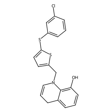 Oc1cccc2c1N(Cc1ccc(Sc3cccc(Cl)c3)s1)C=CC2